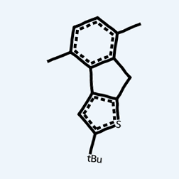 Cc1ccc(C)c2c1Cc1sc(C(C)(C)C)cc1-2